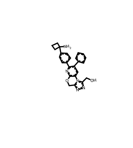 NC1(c2ccc(-c3nc4c(cc3-c3ccccc3)-n3c(CO)nnc3CO4)cc2)CCC1